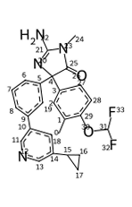 Cc1cc(C2(c3cccc(-c4cncc(C5CC5)c4)c3)N=C(N)N(C)C2=O)ccc1OC(F)F